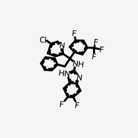 Fc1cc(C(F)(F)F)cc(C(Cc2ccccc2)(Nc2nc3cc(F)c(F)cc3[nH]2)c2ccc(Cl)cn2)c1